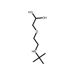 CC(C)(C)NCCOCC(O)O